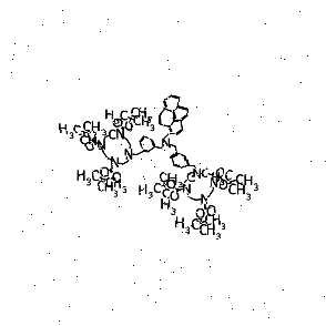 CC(C)(C)OC(=O)N1CCN(Cc2cccc(CN(Cc3cccc(CN4CCN(C(=O)OC(C)(C)C)CCN(C(=O)OC(C)(C)C)CCN(C(=O)OC(C)(C)C)CC4)c3)Cc3ccc4ccc5cccc6ccc3c4c56)c2)CCN(C(=O)OC(C)(C)C)CCN(C(=O)OC(C)(C)C)CC1